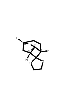 C1COC2(O1)[C@@H]1C[C@@H]3CC[C@H]2[C@H]1C3